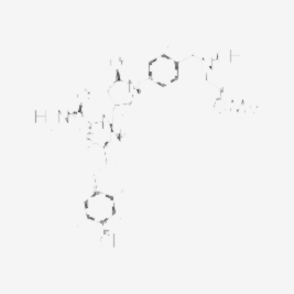 COCCN(C)Cc1ccc(N2CC(N3N=C(CCc4ccc(Cl)cc4)SC3C(N)=O)CC2=O)cc1